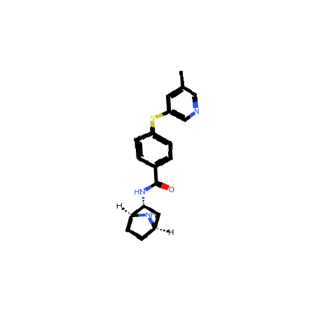 Cc1cncc(Sc2ccc(C(=O)N[C@@H]3C[C@H]4CC[C@@H]3N4)cc2)c1